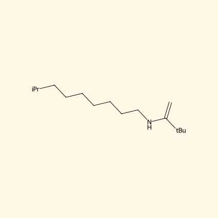 C=C(NCCCCCCCC(C)C)C(C)(C)C